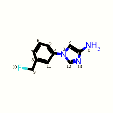 Nc1cn(-c2cccc(CF)c2)cn1